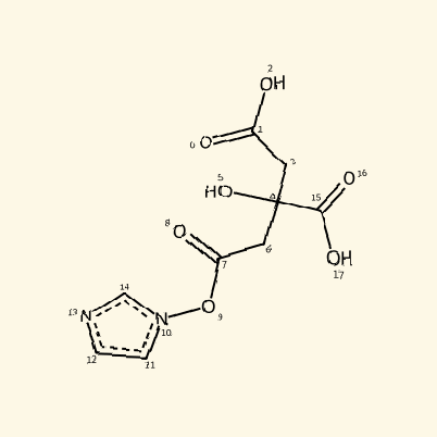 O=C(O)CC(O)(CC(=O)On1ccnc1)C(=O)O